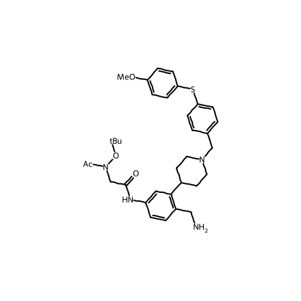 COc1ccc(Sc2ccc(CN3CCC(c4cc(NC(=O)CN(OC(C)(C)C)C(C)=O)ccc4CN)CC3)cc2)cc1